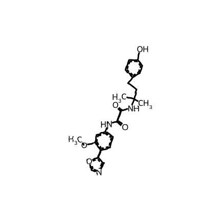 COc1cc(NC(=O)C(=O)NC(C)(C)CCc2ccc(O)cc2)ccc1-c1cnco1